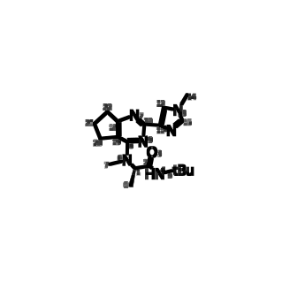 C[C@H](C(=O)NC(C)(C)C)N(C)c1nc(-c2cn(C)cn2)nc2c1CCC2